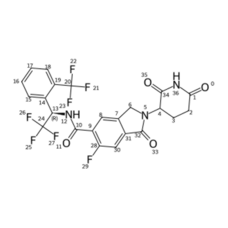 O=C1CCC(N2Cc3cc(C(=O)N[C@H](c4ccccc4C(F)(F)F)C(F)(F)F)c(F)cc3C2=O)C(=O)N1